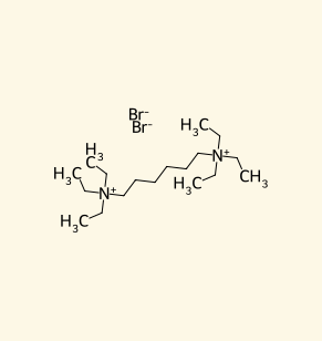 CC[N+](CC)(CC)CCCCCC[N+](CC)(CC)CC.[Br-].[Br-]